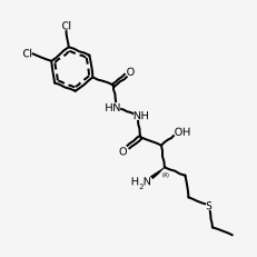 CCSCC[C@@H](N)C(O)C(=O)NNC(=O)c1ccc(Cl)c(Cl)c1